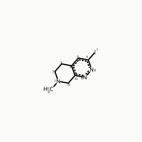 CN1CCc2cc(I)nnc2C1